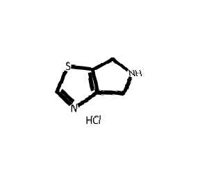 Cl.c1nc2c(s1)CNC2